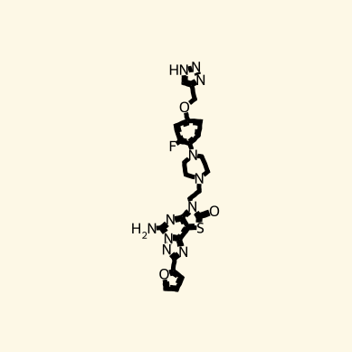 Nc1nc2c(sc(=O)n2CCN2CCN(c3ccc(OCc4c[nH]nn4)cc3F)CC2)c2nc(-c3ccco3)nn12